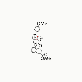 COC(=O)C1=Cc2cccc(N(CC34CCC(c5ccc(OC)cc5)(CC3)CC4)C(=O)C3CCCCC3)c2CC1